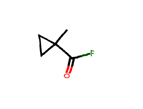 CC1(C(=O)F)CC1